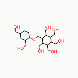 OCC1CCC(OCC2C(CO)C(CO)C(CO)C(CO)C2CO)C(CO)C1